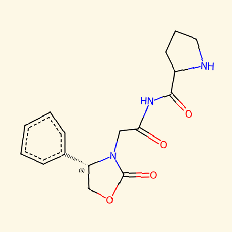 O=C(CN1C(=O)OC[C@@H]1c1ccccc1)NC(=O)C1CCCN1